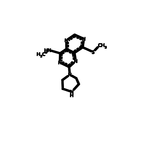 CNc1nc(N2CCNCC2)nc2c(SC)ncnc12